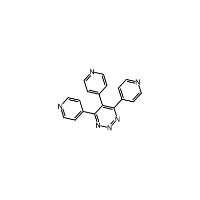 c1cc(-c2nnnc(-c3ccncc3)c2-c2ccncc2)ccn1